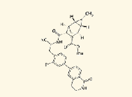 C[C@H]1[C@H]2[C@H]3C[C@@H]([C@@H]12)N(C(=O)OC(C)(C)C)[C@@H]3C(=O)NC(C#N)Cc1ccc(-c2ccc3c(c2)CCNC3=O)cc1F